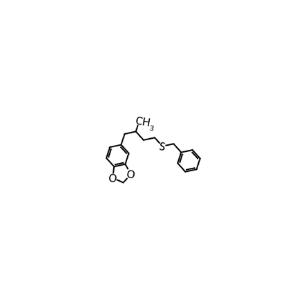 CC(CCSCc1ccccc1)Cc1ccc2c(c1)OCO2